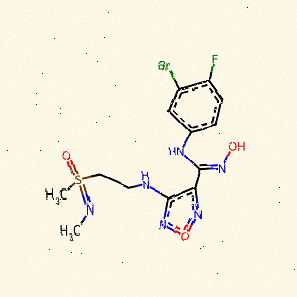 CN=S(C)(=O)CCNc1nonc1/C(=N/O)Nc1ccc(F)c(Br)c1